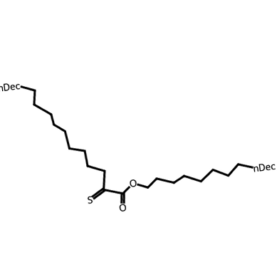 CCCCCCCCCCCCCCCCCCCC(=S)C(=O)OCCCCCCCCCCCCCCCCCC